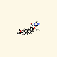 C#C[C@]1(O)CC[C@H]2[C@@H]3CCc4cc(OC)c(C(=O)N5CCNCC5)cc4[C@H]3CC[C@@]21C